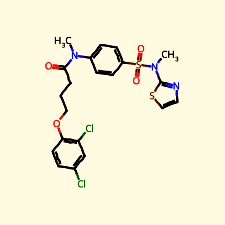 CN(C(=O)CCCOc1ccc(Cl)cc1Cl)c1ccc(S(=O)(=O)N(C)c2nccs2)cc1